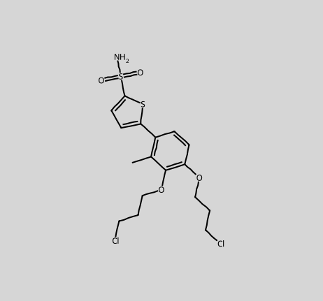 Cc1c(-c2ccc(S(N)(=O)=O)s2)ccc(OCCCCl)c1OCCCCl